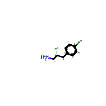 NC[C@H](F)Cc1ccc(F)cc1